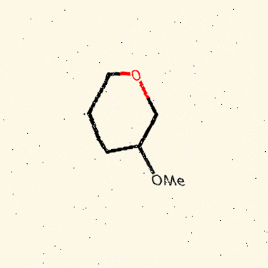 COC1C[CH]COC1